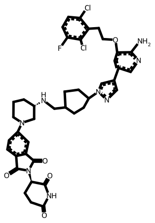 Nc1ncc(-c2cnn(C3CCC(CN[C@H]4CCCN(c5ccc6c(c5)C(=O)N([C@@H]5CCC(=O)NC5=O)C6=O)C4)CC3)c2)cc1OCCc1c(Cl)ccc(F)c1Cl